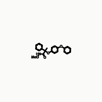 CONC(=O)C(C)(Oc1ccc(Oc2ccccc2)cc1)c1ccccc1